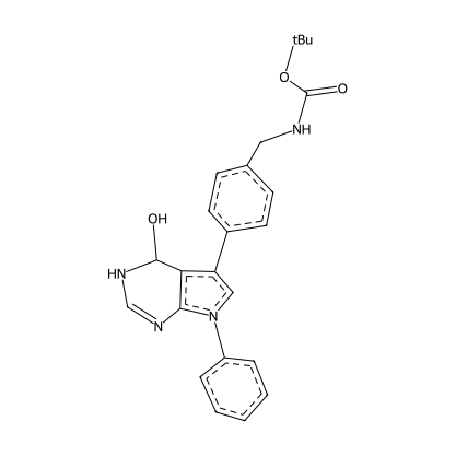 CC(C)(C)OC(=O)NCc1ccc(-c2cn(-c3ccccc3)c3c2C(O)NC=N3)cc1